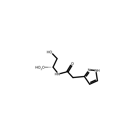 O=C(Cc1cc[nH]n1)N[C@@H](CO)C(=O)O